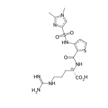 Cc1nc(S(=O)(=O)Nc2ccsc2C(=O)N[C@@H](CCCNC(=N)N)C(=O)O)cn1C